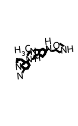 C[C@@H]1CN(c2ccc(C#N)c3ncccc23)C[C@@H]2c3ccc(NCC4CNCCO4)cc3CN12